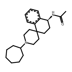 CC(=O)N[C@H]1CCC2(CCN(C3CCCCCC3)CC2)c2ccccc21